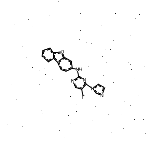 Fc1cnc(Nc2ccc3c(c2)oc2ccccc23)nc1-n1ccnc1